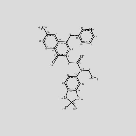 CCN(C(=O)Cn1nc(Cc2cccnc2)c2cc(C)ccc2c1=O)c1ccc2c(c1)OC(F)(F)O2